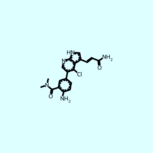 CN(C)C(=O)c1cc(-c2cnc3[nH]cc(/C=C/C(N)=O)c3c2Cl)ccc1N